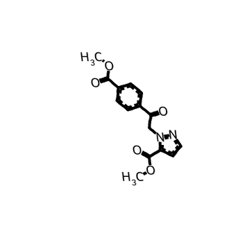 COC(=O)c1ccc(C(=O)Cn2nccc2C(=O)OC)cc1